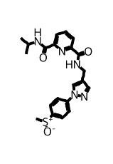 CC(C)NC(=O)c1cccc(C(=O)NCc2cnn(-c3ccc([S+](C)[O-])cc3)c2)n1